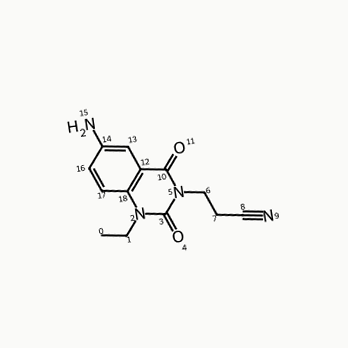 CCn1c(=O)n(CCC#N)c(=O)c2cc(N)ccc21